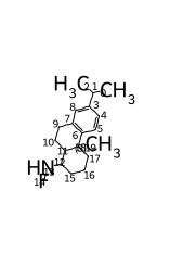 CC(C)c1ccc2c(c1)CCC1C(NF)CCC[C@]21C